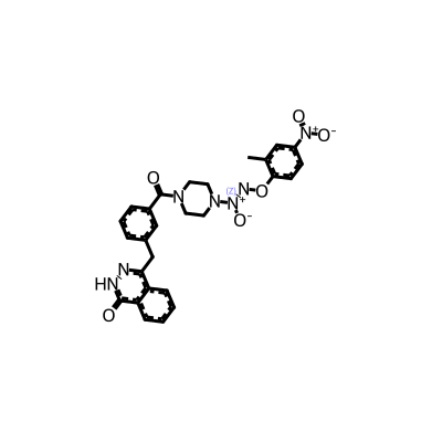 Cc1cc([N+](=O)[O-])ccc1O/N=[N+](\[O-])N1CCN(C(=O)c2cccc(Cc3n[nH]c(=O)c4ccccc34)c2)CC1